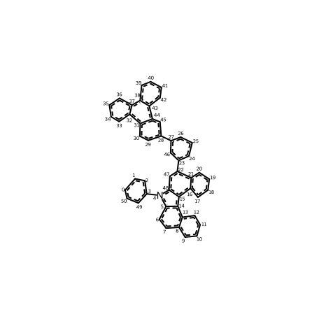 c1ccc(-n2c3ccc4ccccc4c3c3c4ccccc4c(-c4cccc(-c5ccc6c7ccccc7c7ccccc7c6c5)c4)cc32)cc1